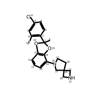 CC1(c2ccc(Cl)cc2F)Oc2cccc(N3CCC4(CNC4)C3)c2O1